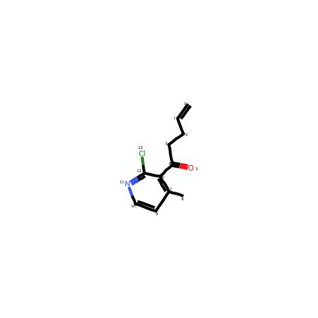 C=CCCC(=O)c1c(C)ccnc1Cl